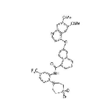 COc1cc2nccc(Oc3ccc4c(C(=O)Nc5cc(C(F)(F)F)ccc5N5CCS(=O)(=O)CC5)cccc4c3)c2cc1OC